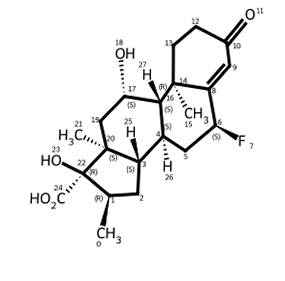 C[C@@H]1C[C@H]2[C@@H]3C[C@H](F)C4=CC(=O)CC[C@]4(C)[C@H]3[C@@H](O)C[C@]2(C)[C@@]1(O)C(=O)O